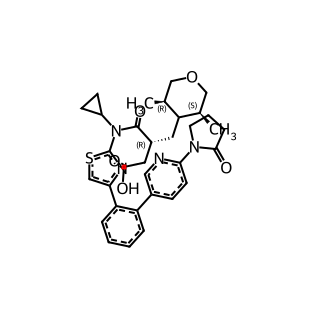 C[C@@H]1COC[C@H](C)C1C[C@H](CC(=O)O)C(=O)N(c1nc(-c2ccccc2-c2ccc(N3CCCC3=O)nc2)cs1)C1CC1